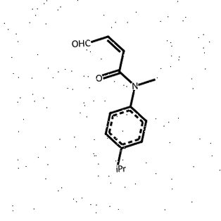 CC(C)c1ccc(N(C)C(=O)/C=C\C=O)cc1